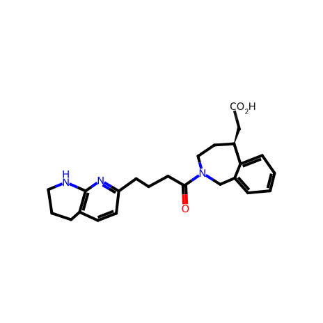 O=C(O)C[C@@H]1CCN(C(=O)CCCc2ccc3c(n2)NCCC3)Cc2ccccc21